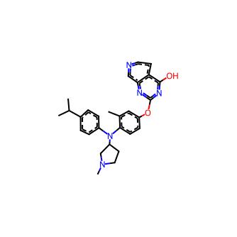 Cc1cc(Oc2nc(O)c3ccncc3n2)ccc1N(c1ccc(C(C)C)cc1)C1CCN(C)C1